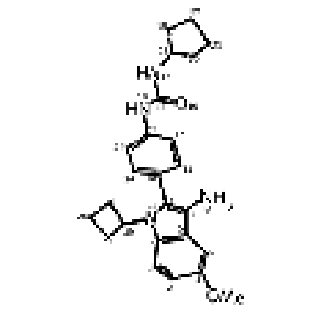 COc1ccc2c(c1)c(N)c(-c1ccc(NC(=O)NC3CCCC3)cc1)n2C1CCC1